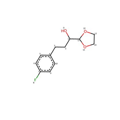 OC(CCc1ccc(F)cc1)C1OCCO1